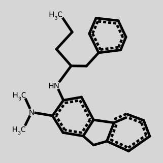 CCCC(Cc1ccccc1)Nc1cc2c(cc1N(C)C)Cc1ccccc1-2